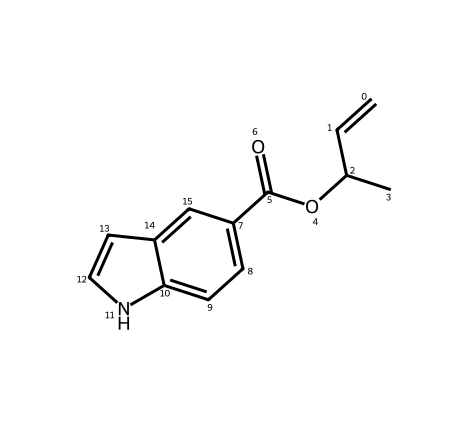 C=CC(C)OC(=O)c1ccc2[nH]ccc2c1